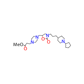 COC(=O)CCN1CCN(CC2CN(CCCC3CCN(C4CCCC4)CC3)C(=O)O2)CC1